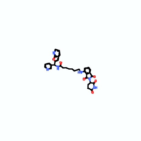 O=C1CCC(N2C(=O)c3cccc(NCCCCCCC(=O)NC(c4cccnc4)c4cc5cccnc5o4)c3C2=O)C(=O)N1